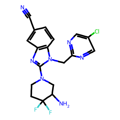 N#Cc1ccc2c(c1)nc(N1CCC(F)(F)C(N)C1)n2Cc1ncc(Cl)cn1